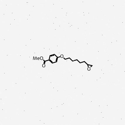 COC(=O)c1ccc(OCCCCCCC2CO2)cc1